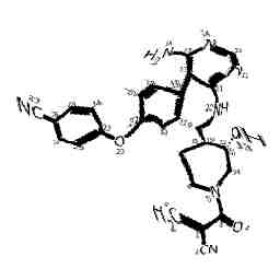 C=C(C#N)C(=O)N1CC[C@@H](CNc2ncnc(N)c2-c2ccc(Oc3ccc(C#N)cc3)cc2)[C@H](O)C1